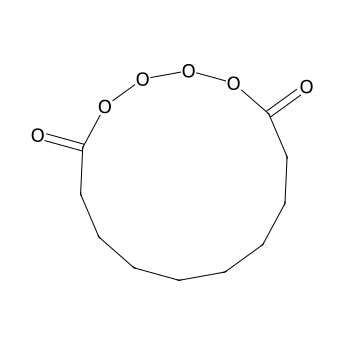 O=C1CCCCCCCCC(=O)OOOO1